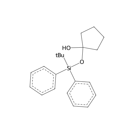 CC(C)(C)[Si](OC1(O)CCCC1)(c1ccccc1)c1ccccc1